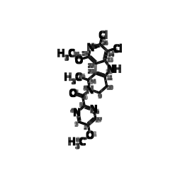 COc1cnc(C(=O)N2CCc3[nH]c4c(Cl)c(Cl)nc(OC)c4c3C2C)nc1